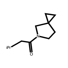 CC(C)CC(=O)N1CCC2(CC2)C1